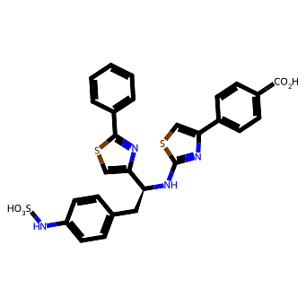 O=C(O)c1ccc(-c2csc(N[C@@H](Cc3ccc(NS(=O)(=O)O)cc3)c3csc(-c4ccccc4)n3)n2)cc1